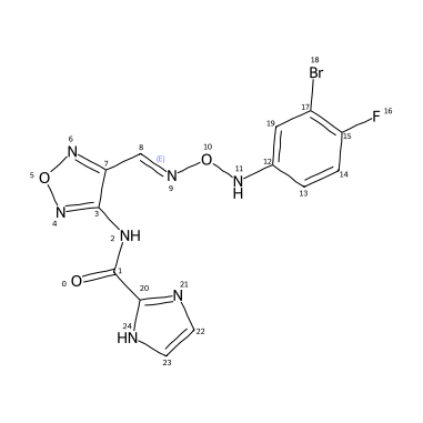 O=C(Nc1nonc1/C=N/ONc1ccc(F)c(Br)c1)c1ncc[nH]1